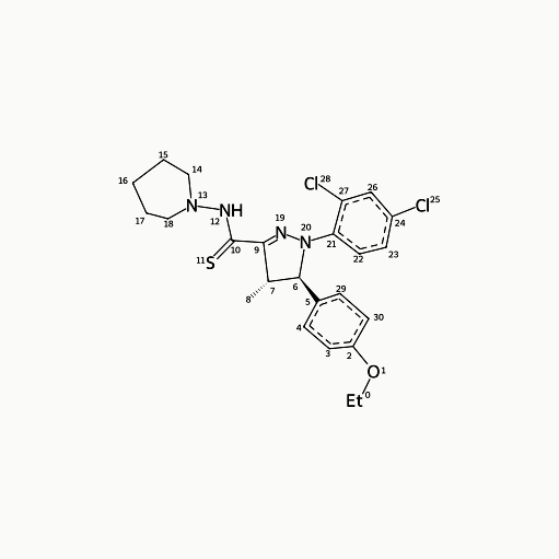 CCOc1ccc([C@H]2[C@H](C)C(C(=S)NN3CCCCC3)=NN2c2ccc(Cl)cc2Cl)cc1